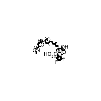 CC(/C=C/[C@H]1O[C@H](C(C(=O)O)c2c(F)c(F)cc(F)c2F)C[C@@]2(CO2)[C@@H]1O)=C\C[C@@H]1O[C@H](C)[C@H](NC(=O)/C=C\[C@@H](C)c2noc(C)n2)C[C@@H]1C